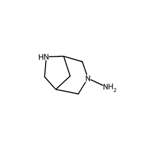 NN1CC2CNC(C2)C1